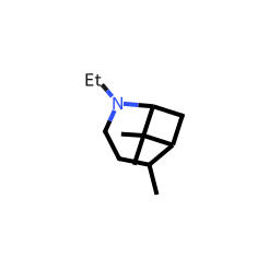 CCN1CCC(C)C2CC1C2(C)C